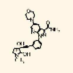 CN1CC[C@@](O)(C#Cc2cccc(-n3nc(C(N)=O)c4cc(N5CCOCC5)cnc43)c2)C1O